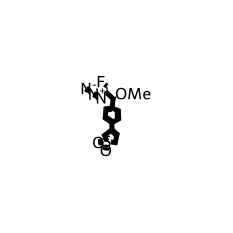 CO[C@H](c1ccc(C2=CCS(=O)(=O)C2)cc1)[C@@H](CF)N=[N+]=[N-]